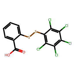 O=C(O)c1ccccc1SSc1c(Cl)c(Cl)c(Cl)c(Cl)c1Cl